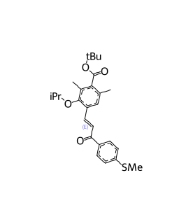 CSc1ccc(C(=O)/C=C/c2cc(C)c(C(=O)OC(C)(C)C)c(C)c2OC(C)C)cc1